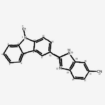 CCn1c2ccccc2c2cc(-c3nc4ccc(C#N)cc4[nH]3)ccc21